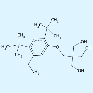 CC(C)(C)c1cc(C(C)(C)C)c(OCC(CO)(CO)CO)cc1CN